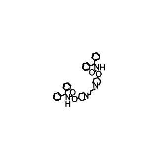 O=C(NC(c1ccccc1)c1ccccc1)OC1CCN(CCCN2CCC(OC(=O)NC(c3ccccc3)c3ccccc3)CC2)CC1